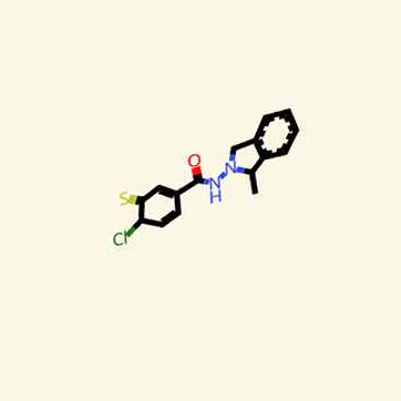 CC1c2ccccc2CN1NC(=O)C1=CC(=S)C(Cl)C=C1